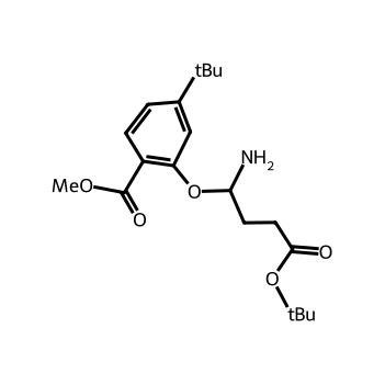 COC(=O)c1ccc(C(C)(C)C)cc1OC(N)CCC(=O)OC(C)(C)C